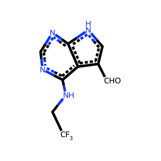 O=Cc1c[nH]c2ncnc(NCC(F)(F)F)c12